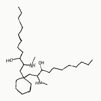 CCCCCCCCC(O)C(CC1(CC(NC)C(O)CCCCCCCC)CCCCC1)NC